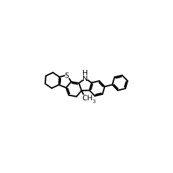 CC12CC=c3c4c(sc3=C1Nc1cc(-c3ccccc3)ccc12)CCCC4